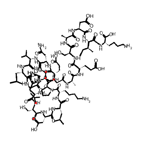 CC[C@H](C)[C@H](NC(=O)[C@H](CC(=O)O)NC(=O)[C@H](C)NC(=O)[C@H](CO)NC(=O)[C@H](CCC(=O)O)NC(=O)[C@H](C)NC(=O)CNC(=O)[C@@H](NC(=O)[C@H](CC(C)C)NC(=O)[C@H](CC(C)C)NC(=O)[C@@H](NC(=O)[C@H](CC(N)=O)NC(=O)[C@H](CCC(=O)O)NC(=O)[C@@H]1CCCN1C(=O)[C@H](CCCCN)NC(=O)[C@H](CC(C)C)NC(=O)[C@H](CC(=O)O)NC(=O)[C@H](CS)NC(=O)[C@@H](N)Cc1c[nH]cn1)C(C)C)[C@@H](C)O)C(=O)N[C@@H](CCCCN)C(=O)O